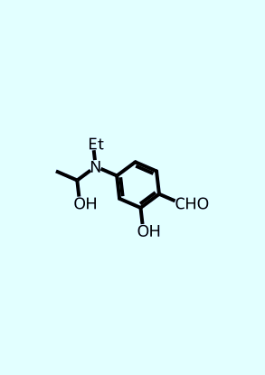 CCN(c1ccc(C=O)c(O)c1)C(C)O